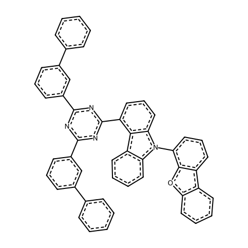 c1ccc(-c2cccc(-c3nc(-c4cccc(-c5ccccc5)c4)nc(-c4cccc5c4c4ccccc4n5-c4cccc5c4oc4ccccc45)n3)c2)cc1